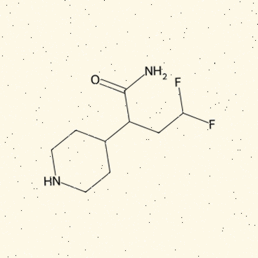 NC(=O)C(CC(F)F)C1CCNCC1